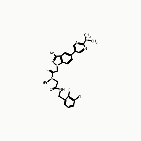 CC(=O)c1nn(CC(=O)N(CC(=O)NCc2cccc(Cl)c2F)C(C)C)c2ccc(-c3cnc(N(C)C)nc3)cc12